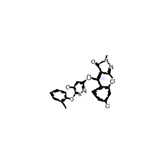 CC1=NN(C)C(=O)/C1=C(\Oc1cc(Cl)c(Oc2ccccc2C)nn1)c1ccc(Cl)cc1Cl